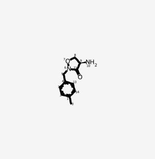 Cc1ccc(CN2OC[C@@H](N)C2=O)cc1